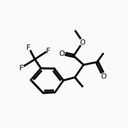 COC(=O)C(C(C)=O)C(C)c1cccc(C(F)(F)F)c1